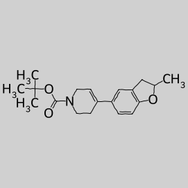 CC1Cc2cc(C3=CCN(C(=O)OC(C)(C)C)CC3)ccc2O1